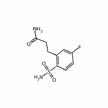 NC(=O)CCc1cc(F)ccc1S(N)(=O)=O